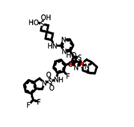 O=C(O)N1CC2CCC(C1)N2c1nc(-c2cccc(NS(=O)(=O)N3Cc4cccc(C(F)F)c4C3)c2F)c(-c2ccnc(NC3CC4(C3)CS(O)(O)C4)n2)s1